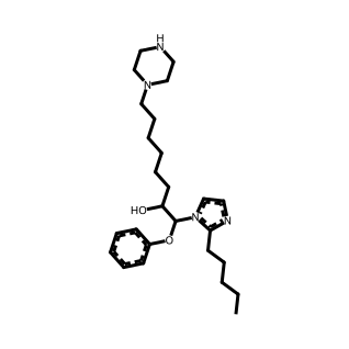 CCCCCc1nccn1C(Oc1ccccc1)C(O)CCCCCCN1CCNCC1